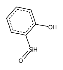 O=[SiH]c1ccccc1O